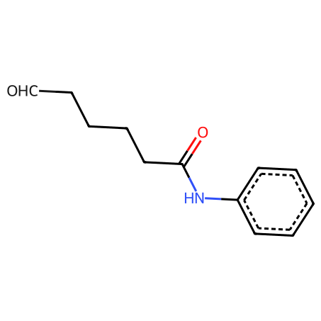 O=CCCCCC(=O)Nc1ccccc1